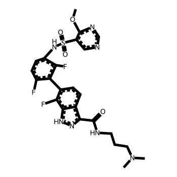 COc1ncncc1S(=O)(=O)Nc1ccc(F)c(-c2ccc3c(C(=O)NCCCN(C)C)n[nH]c3c2F)c1F